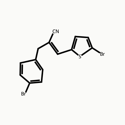 N#CC(=Cc1ccc(Br)s1)Cc1ccc(Br)cc1